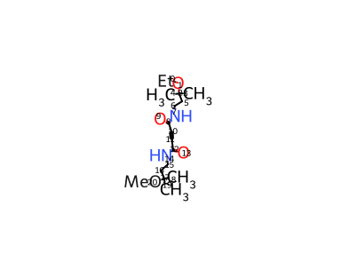 CCOC(C)(C)CCNC(=O)C#CC(=O)NCCC(C)(C)OC